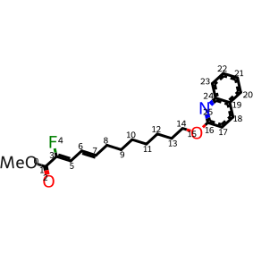 COC(=O)C(F)=CC=CCCCCCCCOc1ccc2ccccc2n1